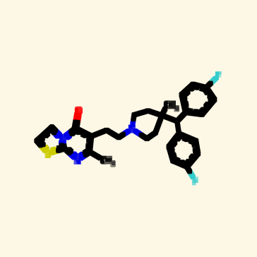 Cc1nc2sccn2c(=O)c1CCN1CCC(C)(C(c2ccc(F)cc2)c2ccc(F)cc2)CC1